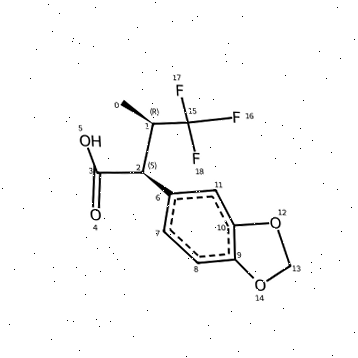 C[C@H]([C@H](C(=O)O)c1ccc2c(c1)OCO2)C(F)(F)F